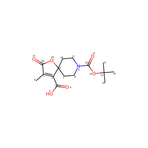 CC1=C(C(=O)O)C2(CCN(C(=O)OC(C)(C)C)CC2)OC1=O